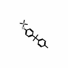 Cc1ccc(C(C)(C)c2ccc(O[Si](C)(C)C)cc2)cc1